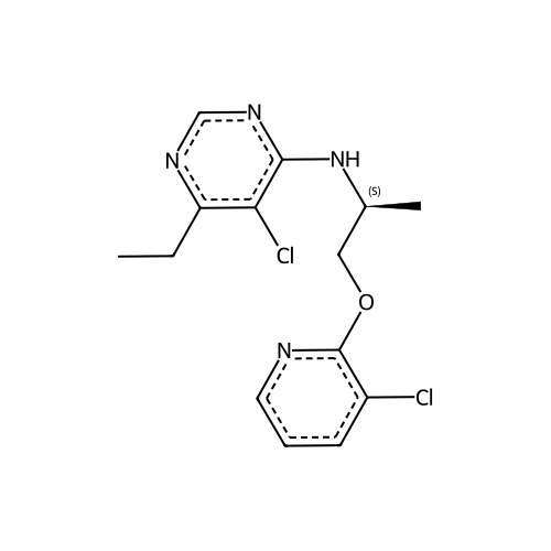 CCc1ncnc(N[C@@H](C)COc2ncccc2Cl)c1Cl